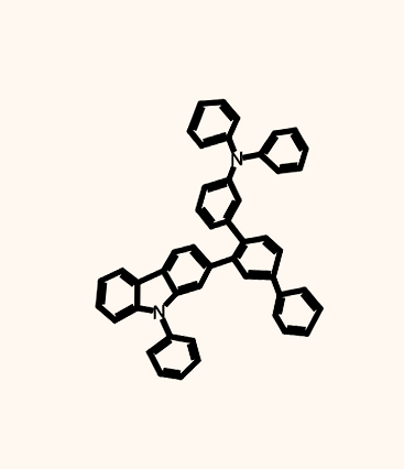 c1ccc(-c2ccc(-c3cccc(N(c4ccccc4)c4ccccc4)c3)c(-c3ccc4c5ccccc5n(-c5ccccc5)c4c3)c2)cc1